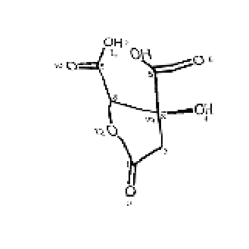 O=C1C[C@@](O)(C(=O)O)C(C(=O)O)O1